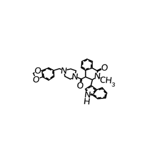 CN1C(=O)c2ccccc2C(C(=O)N2CCN(Cc3ccc4c(c3)OCO4)CC2)C1c1c[nH]c2ccccc12